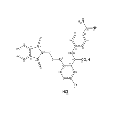 CCc1ccc(OCCN2C(=O)c3ccccc3C2=O)c(C(Nc2ccc(C(=N)N)cc2)C(=O)O)c1.Cl